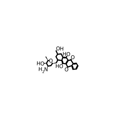 C[C@H]1O[C@@H](CC2CC(CO)Cc3c(O)c4c(c(O)c32)C(=O)c2ccccc2C4=O)C[C@H](N)[C@H]1O